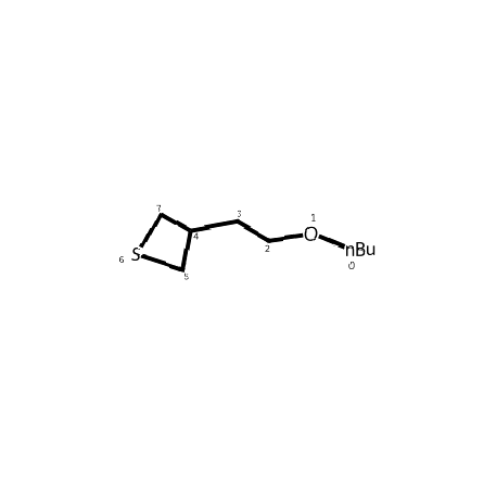 CCCCOCCC1CSC1